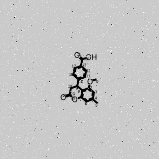 COc1cc(C)cc2c1C(c1ccc(C(=O)O)cc1)CC(=O)O2